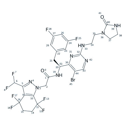 O=C(Cn1nc(C(F)F)c2c1C(F)(F)CCC2(F)F)N[C@@H](Cc1cc(F)cc(F)c1)c1nc(NCCN2CCNC2=O)ncc1Br